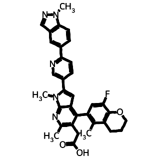 Cc1nc2c(cc(-c3ccc(-c4ccc5c(cnn5C)c4)nc3)n2C)c(-c2cc(F)c3c(c2C)CCCO3)c1CC(=O)O